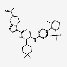 CC(=O)N1CCn2c(ccc2C(=O)N[C@H](C(=O)Nc2ccc(-c3c(C(F)(F)F)ccnc3C)cc2)C2CCC(F)(F)CC2)C1